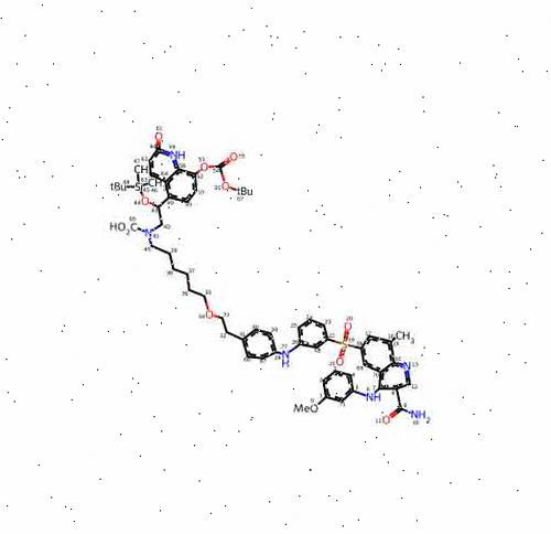 COc1cccc(Nc2c(C(N)=O)cnc3c(C)cc(S(=O)(=O)c4cccc(Nc5ccc(CCOCCCCCCN(CC(O[Si](C)(C)C(C)(C)C)c6ccc(OC(=O)OC(C)(C)C)c7[nH]c(=O)ccc67)C(=O)O)cc5)c4)cc23)c1